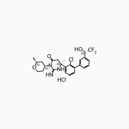 C[C@H]1C[C@@H](N2C(=N)N[C@](C)(c3cccc(-c4cccc([C@H](O)C(F)(F)F)c4)c3Cl)CC2=O)CCO1.Cl